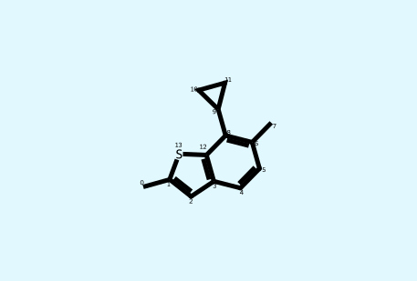 Cc1cc2ccc(C)c(C3CC3)c2s1